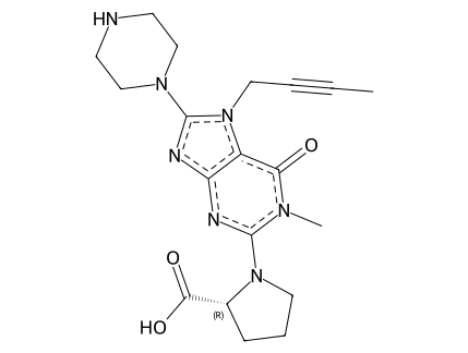 CC#CCn1c(N2CCNCC2)nc2nc(N3CCC[C@@H]3C(=O)O)n(C)c(=O)c21